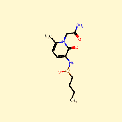 CCCC[S+]([O-])Nc1ccc(C)n(CC(N)=O)c1=O